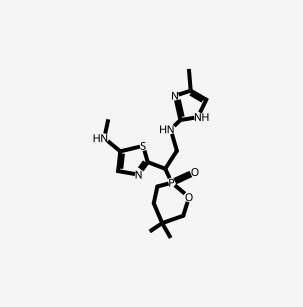 CNc1cnc(C(CNc2nc(C)c[nH]2)P2(=O)CCC(C)(C)CO2)s1